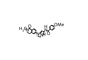 COc1ccc(C(=O)Nc2cc3n(n2)CCN3c2ccc3c(c2)CCN(C)C3=O)cc1